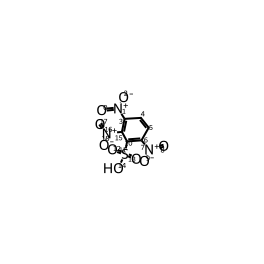 O=[N+]([O-])c1ccc([N+](=O)[O-])c(S(=O)(=O)O)c1[N+](=O)[O-]